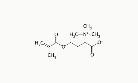 C=C(C)C(=O)OCCC(C(=O)[O-])[N+](C)(C)C